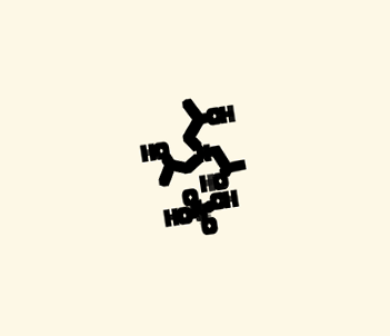 CC(O)CN(CC(C)O)CC(C)O.O=S(=O)(O)O